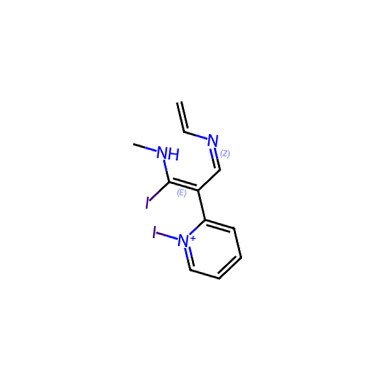 C=C/N=C\C(=C(\I)NC)c1cccc[n+]1I